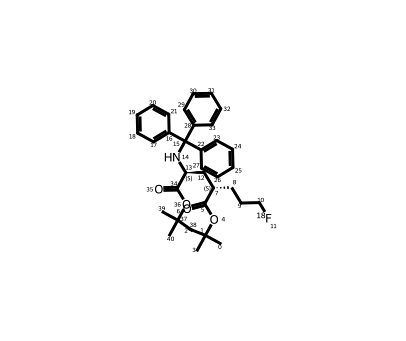 CC(C)(C)OC(=O)[C@@H](CCC[18F])C[C@H](NC(c1ccccc1)(c1ccccc1)c1ccccc1)C(=O)OC(C)(C)C